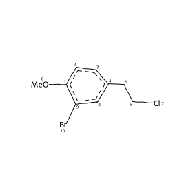 COc1ccc(CCCl)cc1Br